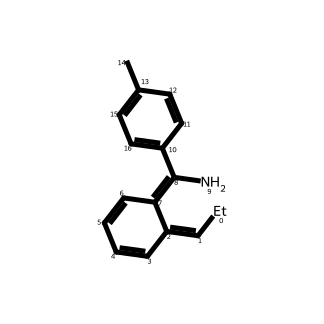 CC/C=c1/cccc/c1=C(/N)c1ccc(C)cc1